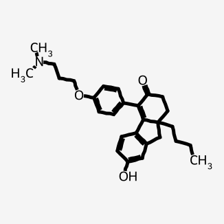 CCCCC12CCC(=O)C(c3ccc(OCCCN(C)C)cc3)=C1c1ccc(O)cc1C2